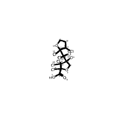 O=C(O)C1(Cl)OCC(Cl)(C(Cl)(Cl)C2(Cl)OCCC2Cl)C1(Cl)Cl